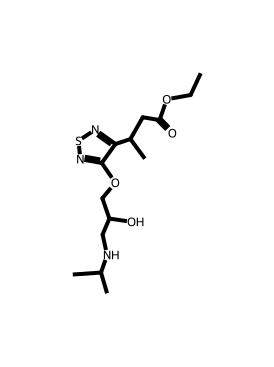 CCOC(=O)CC(C)c1nsnc1OCC(O)CNC(C)C